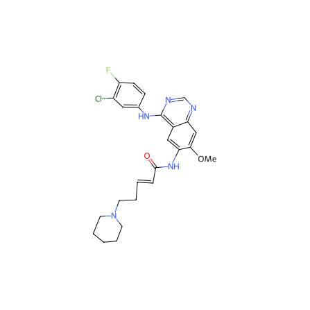 COc1cc2ncnc(Nc3ccc(F)c(Cl)c3)c2cc1NC(=O)C=CCCN1CCCCC1